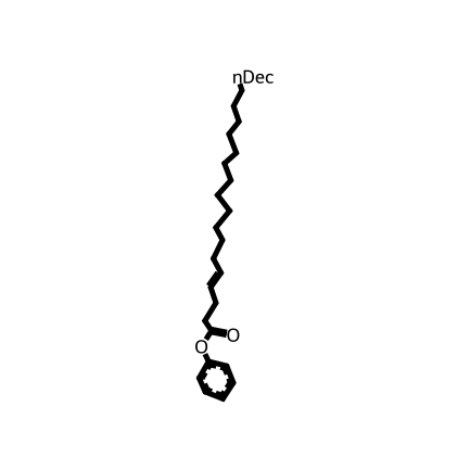 CCCCCCCCCCCCCCCCCCCCCCC=CCCC(=O)Oc1ccccc1